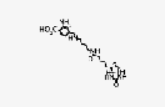 Nc1cc(CNCCCCNC(=O)CCCC[C@@H]2SC[C@@H]3NC(=O)N[C@@H]32)ccc1C(=O)O